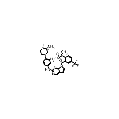 C[C@H]1CN(c2ccc(Nc3ncc4ccn(Cc5cc(C(F)(F)F)ccc5N(C)S(C)(=O)=O)c4n3)cc2)CCN1